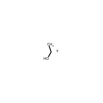 CCO.[Y]